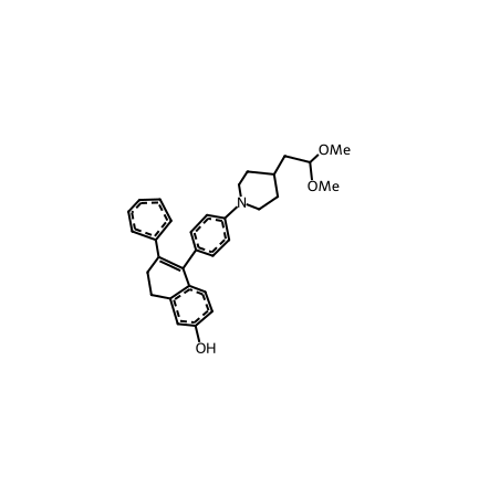 COC(CC1CCN(c2ccc(C3=C(c4ccccc4)CCc4cc(O)ccc43)cc2)CC1)OC